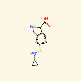 O=C(O)C1NCc2cc(SNC3CC3)ccc21